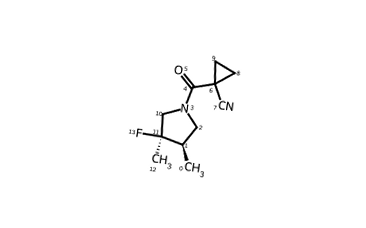 C[C@@H]1CN(C(=O)C2(C#N)CC2)C[C@]1(C)F